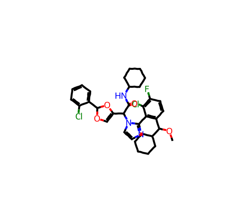 COC(c1ccc(F)c(Cl)c1-c1nccn1C(C(=O)NC1CCCCC1)C1=COC(c2ccccc2Cl)O1)C1CCCCC1